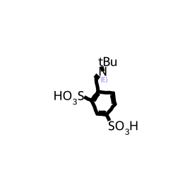 CC(C)(C)/N=C/c1ccc(S(=O)(=O)O)cc1S(=O)(=O)O